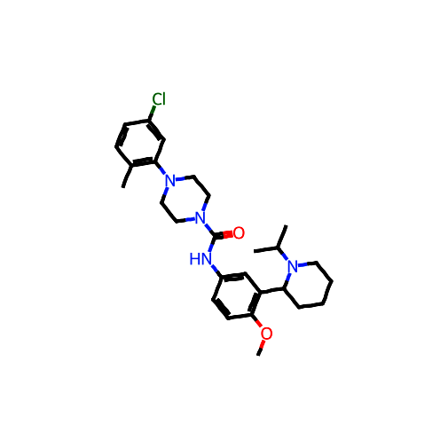 COc1ccc(NC(=O)N2CCN(c3cc(Cl)ccc3C)CC2)cc1C1CCCCN1C(C)C